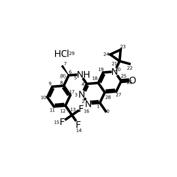 Cc1nnc(N[C@H](C)c2cccc(C(F)(F)F)c2)c2cn(C3(C)CC3)c(=O)cc12.Cl